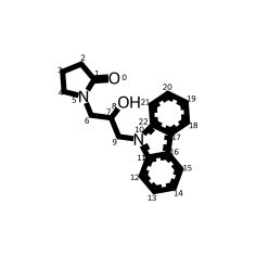 O=C1CCCN1CC(O)Cn1c2ccccc2c2ccccc21